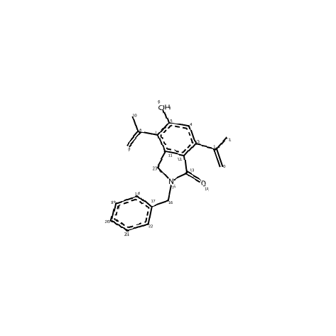 C=C(C)c1cc(O)c(C(=C)C)c2c1C(=O)N(Cc1ccccc1)C2